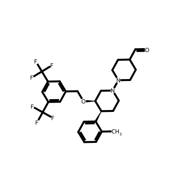 Cc1ccccc1[C@@H]1CCN(N2CCC(C=O)CC2)C[C@@H]1OCc1cc(C(F)(F)F)cc(C(F)(F)F)c1